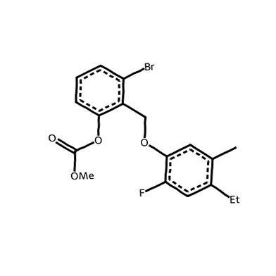 CCc1cc(F)c(OCc2c(Br)cccc2OC(=O)OC)cc1C